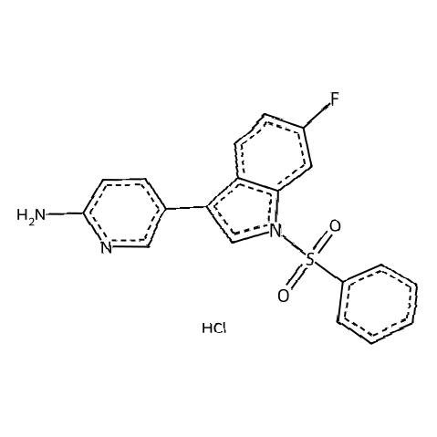 Cl.Nc1ccc(-c2cn(S(=O)(=O)c3ccccc3)c3cc(F)ccc23)cn1